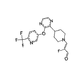 O=CC(F)=CN1CCC(c2nccnc2Oc2ccc(C(F)(F)F)nc2)CC1